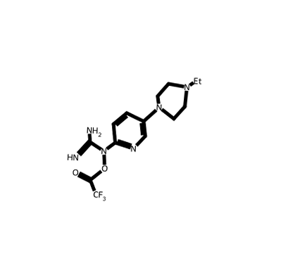 CCN1CCN(c2ccc(N(OC(=O)C(F)(F)F)C(=N)N)nc2)CC1